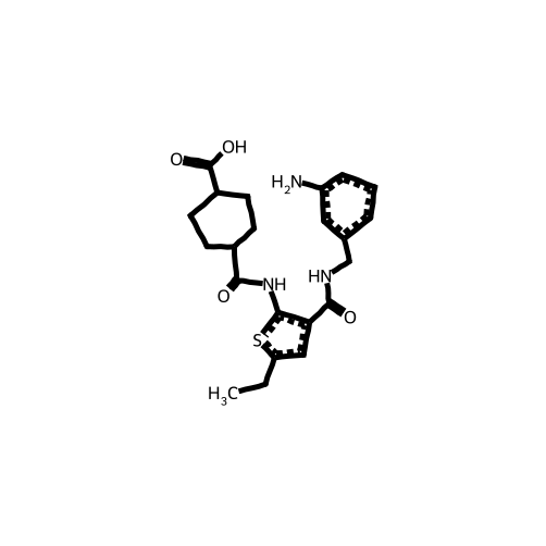 CCc1cc(C(=O)NCc2cccc(N)c2)c(NC(=O)C2CCC(C(=O)O)CC2)s1